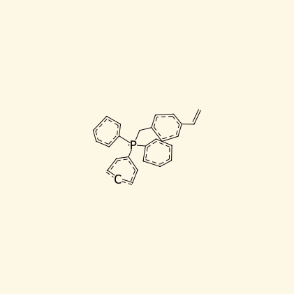 C=Cc1ccc(C[P](c2ccccc2)(c2ccccc2)c2ccccc2)cc1